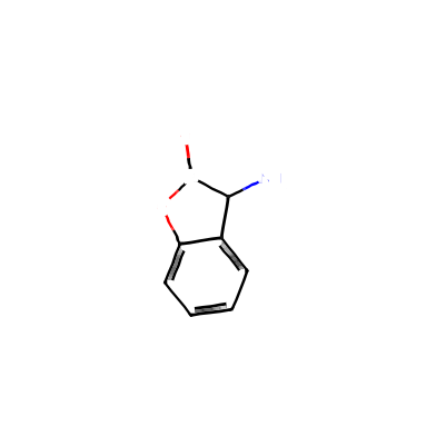 NC1B(O)Oc2ccccc21